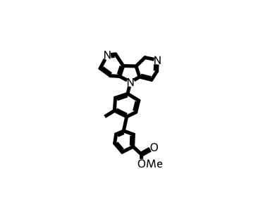 COC(=O)c1cccc(-c2ccc(N3C4=CC=NCC4c4cnccc43)cc2C)c1